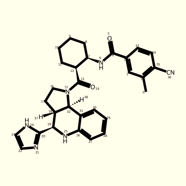 Cc1cc(C(=O)N[C@@H]2CCCC[C@@H]2C(=O)N2CC[C@H]3[C@H](c4ncc[nH]4)Nc4ccccc4[C@@H]32)ccc1C#N